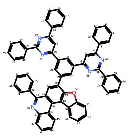 c1ccc(-c2cc(-c3cc(-c4cc(-c5ccccc5)nc(-c5ccccc5)n4)cc(-c4cc5c(-c6ccccc6)nc6ccccc6c5c5c4oc4ccccc45)c3)nc(-c3ccccc3)n2)cc1